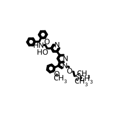 COc1ccccc1-c1cn(COCC[Si](C)(C)C)c2ncc(-c3cncc(C(O)C(=O)NC(c4ccccc4)c4ccccc4)c3)cc12